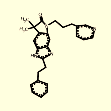 CC1(C)C(=O)N(CCCc2cccnc2)c2cc3nc(CCc4ccccc4)[nH]c3cc21